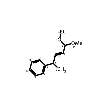 CCOC(/C=C/C(C)c1ccccc1)OC